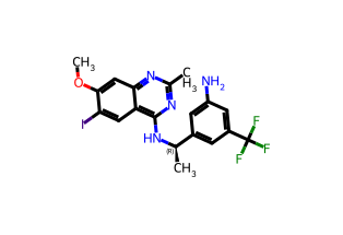 COc1cc2nc(C)nc(N[C@H](C)c3cc(N)cc(C(F)(F)F)c3)c2cc1I